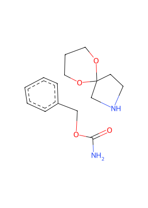 C1COC2(CCNC2)OC1.NC(=O)OCc1ccccc1